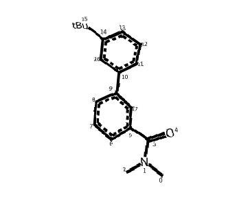 CN(C)C(=O)c1cccc(-c2cccc(C(C)(C)C)c2)c1